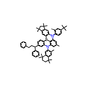 Cc1cc2c3c(c1)N(c1ccc(C(C)(C)C)cc1C)c1cc4c(cc1B3c1ccc(C(CCc3ccccc3)c3ccccc3)cc1N2c1cc2c(cc1C)C(C)(C)CCC2(C)C)C(C)(C)CC4(C)C